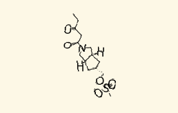 CCC(=O)CC(=O)N1C[C@H]2C[C@@H](COS(C)(=O)=O)C[C@H]2C1